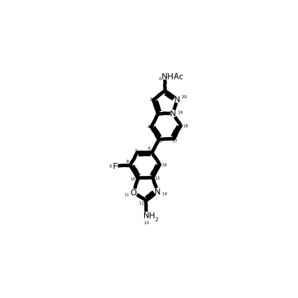 CC(=O)Nc1cc2cc(-c3cc(F)c4oc(N)nc4c3)ccn2n1